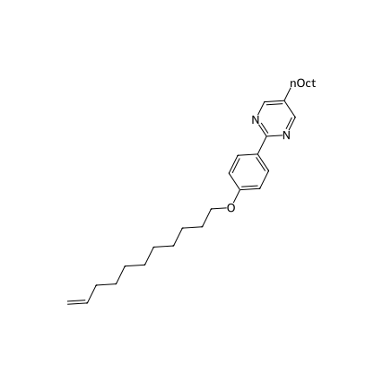 C=CCCCCCCCCCOc1ccc(-c2ncc(CCCCCCCC)cn2)cc1